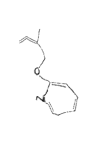 C=C(C)COc1ccccn1